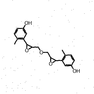 Cc1ccc(O)cc1C1OC1COCC1OC1c1cc(O)ccc1C